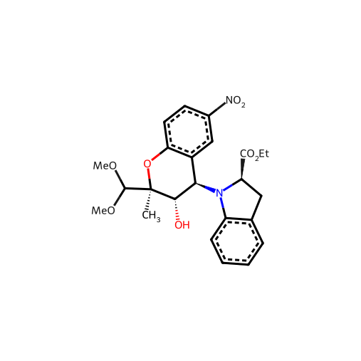 CCOC(=O)[C@H]1Cc2ccccc2N1[C@@H]1c2cc([N+](=O)[O-])ccc2O[C@](C)(C(OC)OC)[C@H]1O